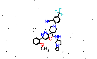 COc1ccccc1-c1ccc(C2(C(=O)N[C@H]3CCN(C)C3)CCN(c3ccc(C(F)(F)F)cc3C#N)CC2)nn1